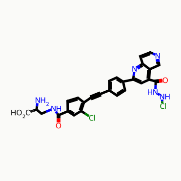 NC(CNC(=O)c1ccc(C#Cc2ccc(-c3cc(C(=O)NNCl)c4cnccc4n3)cc2)c(Cl)c1)C(=O)O